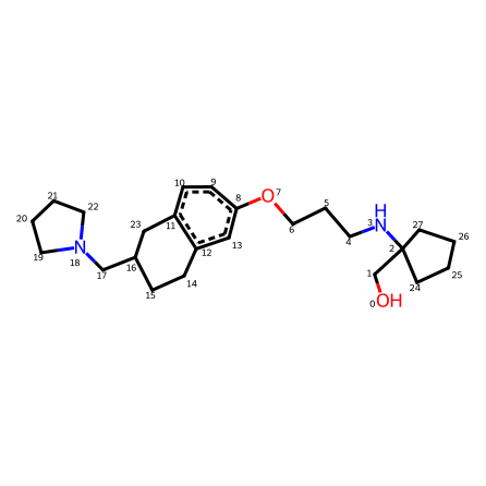 OCC1(NCCCOc2ccc3c(c2)CCC(CN2CCCC2)C3)CCCC1